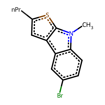 CCCc1cc2c3cc(Br)ccc3n(C)c2s1